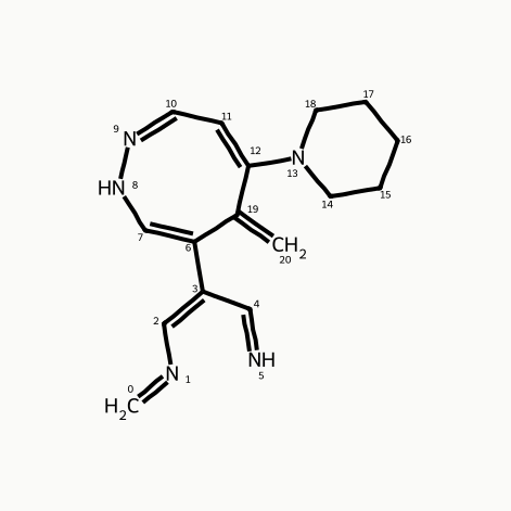 C=N/C=C(C=N)/C1=C/N/N=C\C=C(\N2CCCCC2)C1=C